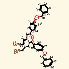 BrCCCCC(OC(CCCCBr)c1ccc(OCc2ccccc2)cc1)c1ccc(OCc2ccccc2)cc1